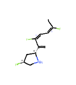 C=C(/C(F)=C\C=C(/C)F)[C@H]1C[C@H](F)CN1